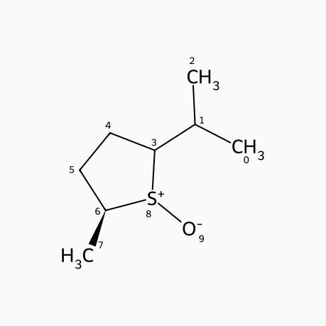 CC(C)C1CC[C@H](C)[S+]1[O-]